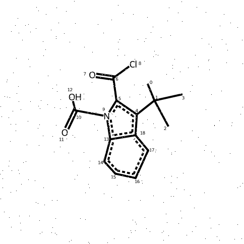 CC(C)(C)c1c(C(=O)Cl)n(C(=O)O)c2ccccc12